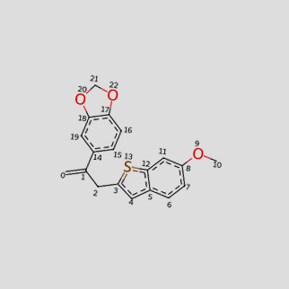 C=C(Cc1cc2ccc(OC)cc2s1)c1ccc2c(c1)OCO2